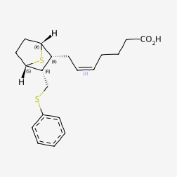 O=C(O)CCC/C=C\C[C@@H]1[C@H](CSc2ccccc2)[C@@H]2CC[C@H]1S2